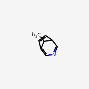 CC1C2=CN=CC1C=C2